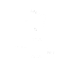 C=Cc1ccccc1.Cc1c[nH]c(C)n1.Cl